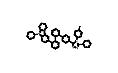 Cc1ccc(-n2c(-c3ccccc3)nnc2-c2ccc(-c3ccccc3-c3ccccc3-c3ccc4c(c3)c3ccccc3n4-c3ccccc3)cc2)cc1